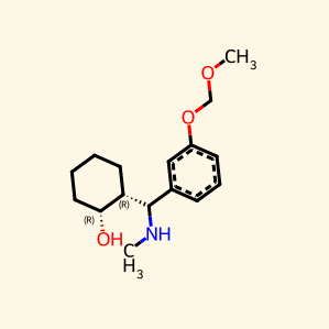 CNC(c1cccc(OCOC)c1)[C@H]1CCCC[C@H]1O